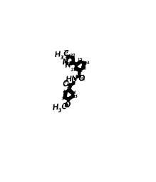 COc1ccc(C(=O)CNC(=O)c2cccc(C3=NN=C(C)C3)c2)cc1